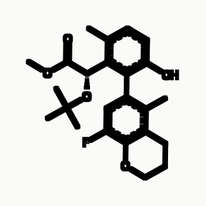 COC(=O)[C@@H](OC(C)(C)C)c1c(C)ccc(O)c1-c1cc(F)c2c(c1C)CCCO2